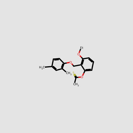 CCOc1cccc(OC(C)=S)c1COc1ccc(C)cc1C